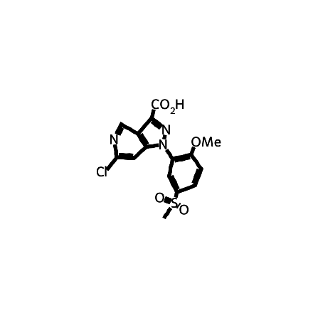 COc1ccc(S(C)(=O)=O)cc1-n1nc(C(=O)O)c2cnc(Cl)cc21